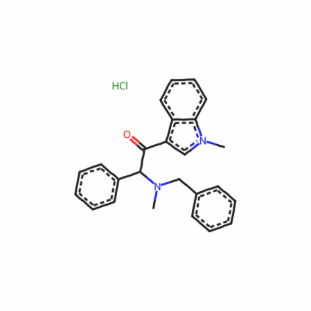 CN(Cc1ccccc1)C(C(=O)c1cn(C)c2ccccc12)c1ccccc1.Cl